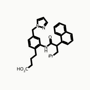 CC(C)CC(C(=O)Nc1cc(Cn2cccn2)ccc1CCCC(=O)O)c1cccc2ccccc12